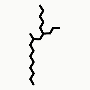 CCCCCCCCC(C)CC(CCC)CCCCC